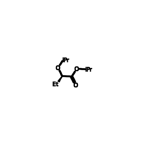 CC[C@@H](OC(C)C)C(=O)OC(C)C